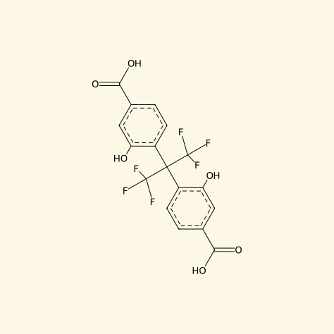 O=C(O)c1ccc(C(c2ccc(C(=O)O)cc2O)(C(F)(F)F)C(F)(F)F)c(O)c1